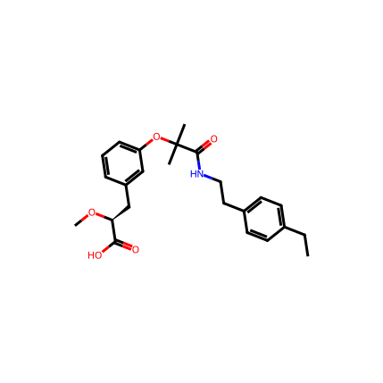 CCc1ccc(CCNC(=O)C(C)(C)Oc2cccc(C[C@H](OC)C(=O)O)c2)cc1